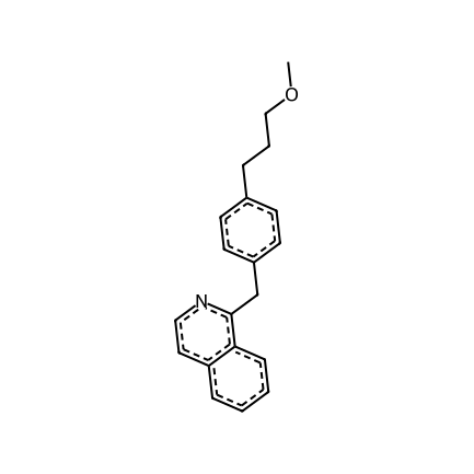 COCCCc1ccc(Cc2nccc3ccccc23)cc1